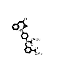 CCC(=Cc1ccccc1)C1CC1NC1CCC(N(Cc2cccc(C(=O)OC)c2)C(=O)OC(C)(C)C)CC1